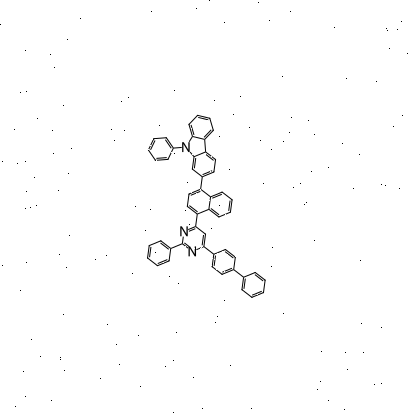 c1ccc(-c2ccc(-c3cc(-c4ccc(-c5ccc6c7ccccc7n(-c7ccccc7)c6c5)c5ccccc45)nc(-c4ccccc4)n3)cc2)cc1